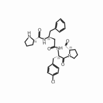 O=C[C@@H]1CCCN1C(=O)[C@H](Cc1ccc(Cl)cc1)NC(=O)C[C@H](Cc1ccccc1)NC(=O)[C@@H]1CCCN1